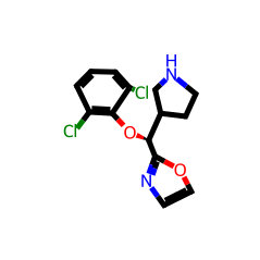 Clc1cccc(Cl)c1O[C@H](c1ncco1)C1CCNC1